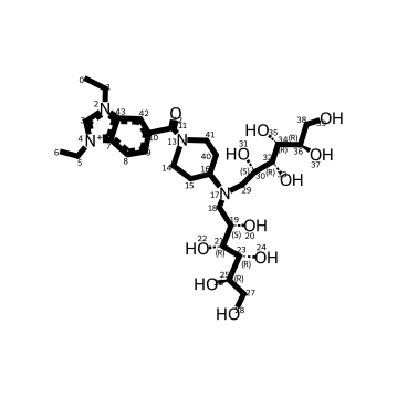 CCn1c[n+](CC)c2ccc(C(=O)N3CCC(N(C[C@H](O)[C@@H](O)[C@H](O)[C@H](O)CO)C[C@H](O)[C@@H](O)[C@H](O)[C@H](O)CO)CC3)cc21